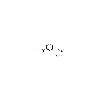 COC(=O)c1cncc(N2CCNC(C)(C)C2)c1